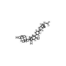 O[C@@H]1CO[C@H]2[C@@H]1OC[C@H]2Oc1nc2nc(-c3ccc(N4Cc5cn(CC6CC6)nc5C4)cc3)c(Cl)cc2[nH]1